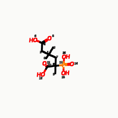 CC(C)(CC(=O)O)CC(C)(C(=O)O)P(=O)(O)O